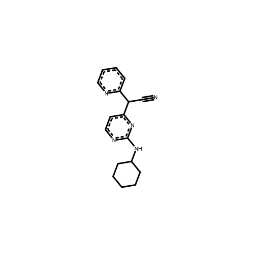 N#CC(c1ccccn1)c1ccnc(NC2CCCCC2)n1